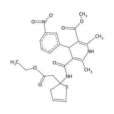 CCOC(=O)CC1(NC(=O)C2=C(C)NC(C)=C(C(=O)OC)C2c2cccc([N+](=O)[O-])c2)CC=CS1